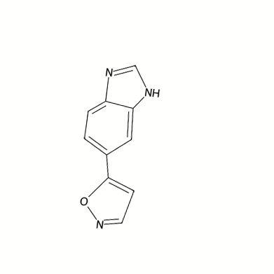 c1cc(-c2ccc3nc[nH]c3c2)on1